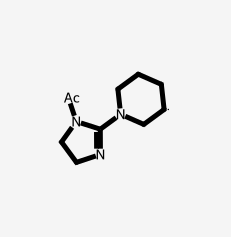 CC(=O)N1CCN=C1N1C[CH]CCC1